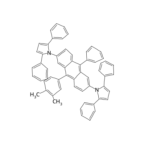 Cc1ccc(-c2c3ccc(-n4c(-c5ccccc5)ccc4-c4ccccc4)cc3c(-c3ccccc3)c3ccc(-n4c(-c5ccccc5)ccc4-c4ccccc4)cc23)cc1C